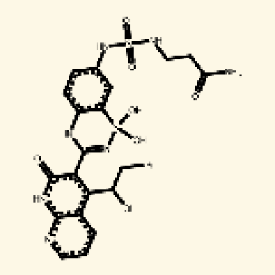 CC(C)CC(O)c1c(C2=NS(O)(O)c3cc(NS(=O)(=O)NCCC(N)=O)ccc3N2)c(=O)[nH]c2ncccc12